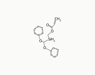 C=CC(=O)OC[SiH2]C(Oc1ccccc1)Oc1ccccc1